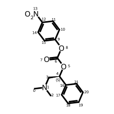 CN(C)C[C@@H](OC(=O)Oc1ccc([N+](=O)[O-])cc1)c1ccccc1